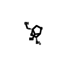 B[C@@H]1O[C@@]2(CO)COC1C2O